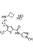 Cc1sc(C(=O)Nc2cnn(C)c2)cc1[C@H]1C[C@@H]1NC1CCC1.Cl.Cl